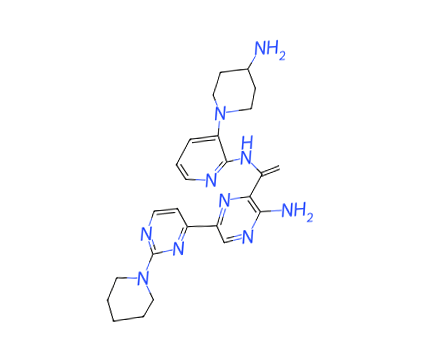 C=C(Nc1ncccc1N1CCC(N)CC1)c1nc(-c2ccnc(N3CCCCC3)n2)cnc1N